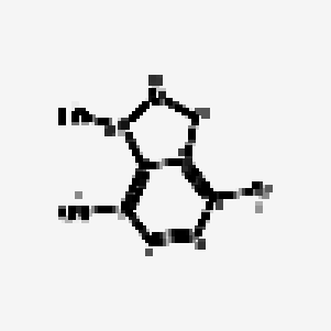 O=Nc1ccc(Br)c2c1B(O)OC2